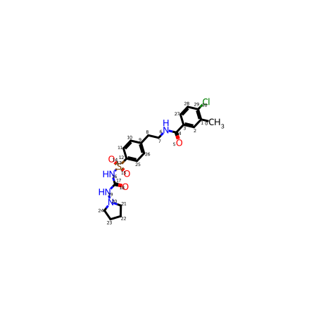 Cc1cc(C(=O)NCCc2ccc(S(=O)(=O)NC(=O)NN3CCCC3)cc2)ccc1Cl